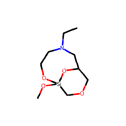 CCN1CCO[Si]2(OC)COCC(C1)O2